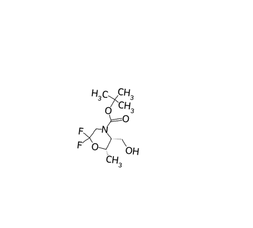 C[C@@H]1OC(F)(F)CN(C(=O)OC(C)(C)C)[C@@H]1CO